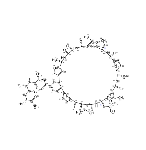 C=C(NC(=O)C(=C)NC(=O)C(=C)NC(=O)c1ccc2c(n1)-c1coc(n1)C(=C)NC(=O)C(=C)NC(=O)c1nc(oc1C)/C(=C\C)NC(=O)c1csc(n1)C(OC)NC(=O)c1nc(oc1C)/C(=C\C(C)O)NC(=O)C(C(C)O)NC(=O)c1csc-2n1)C(N)=O